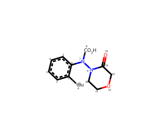 CC(C)(C)c1ccccc1N(C(=O)O)N1CCOCC1=O